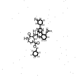 O=C1NCCN(C(=O)OCc2ccccc2)CC1Nc1nc2cccc(C3CC3)c2c2nc(-c3cccc(F)c3)nn12